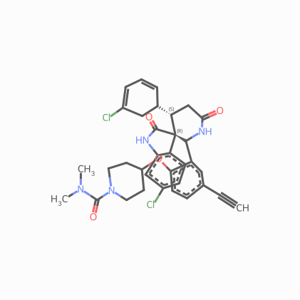 C#Cc1ccc(OC2CCN(C(=O)N(C)C)CC2)c(C2NC(=O)C[C@@H](C3C=CC=C(Cl)C3)[C@]23C(=O)Nc2cc(Cl)ccc23)c1